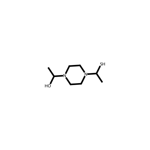 CC(O)N1CCN(C(C)S)CC1